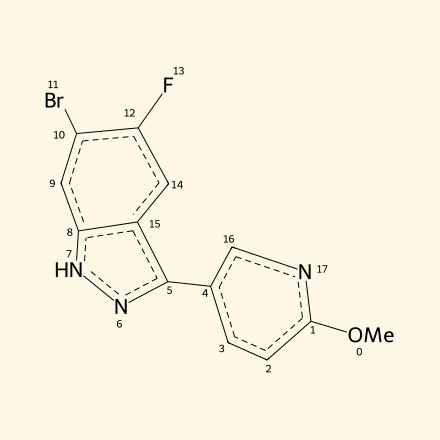 COc1ccc(-c2n[nH]c3cc(Br)c(F)cc23)cn1